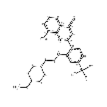 CSC1CCN(CCOc2cc(C(F)(F)F)ccc2-c2cc(=O)c3cccc(Cl)c3o2)CC1